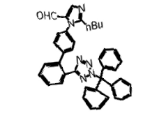 CCCCc1ncc(C=O)n1-c1ccc(-c2ccccc2-c2nnn(C(c3ccccc3)(c3ccccc3)c3ccccc3)n2)cc1